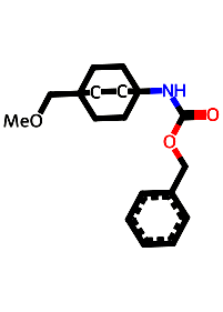 COCC12CCC(NC(=O)OCc3ccccc3)(CC1)CC2